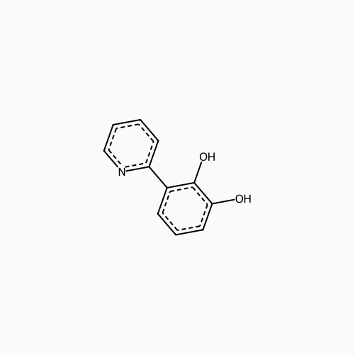 Oc1cccc(-c2ccccn2)c1O